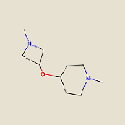 CN1CCC(OC2CN(C)C2)CC1